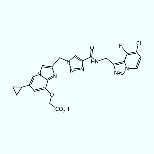 O=C(O)COc1cc(C2CC2)cn2cc(Cn3cc(C(=O)NCc4ncn5ccc(Cl)c(F)c45)nn3)nc12